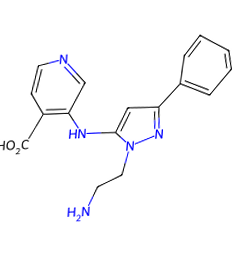 NCCn1nc(-c2ccccc2)cc1Nc1cnccc1C(=O)O